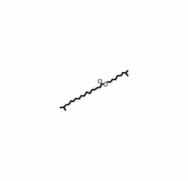 CC(C)CCCCCCCCCCCCCCC(=O)OCCCCCCCC(C)C